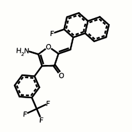 NC1=C(c2cccc(C(F)(F)F)c2)C(=O)C(=Cc2c(F)ccc3ccccc23)O1